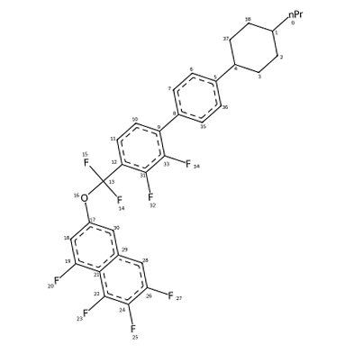 CCCC1CCC(c2ccc(-c3ccc(C(F)(F)Oc4cc(F)c5c(F)c(F)c(F)cc5c4)c(F)c3F)cc2)CC1